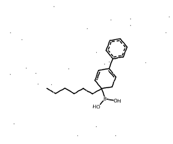 CCCCCCC1(B(O)O)C=CC(c2ccccc2)=CC1